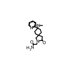 CNC1(c2ccccn2)CCC2(CC1)CC(=O)N(CC(N)=O)C2